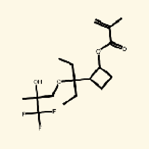 C=C(C)C(=O)OC1CCC1C(CC)(CC)OCC(C)(O)C(F)(F)F